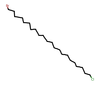 ClCCCCCCCCCCCCCCCCCCCCCCBr